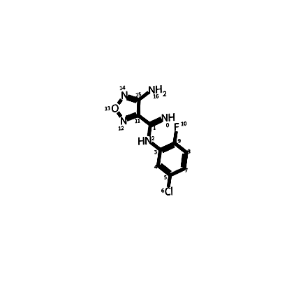 N=C(Nc1cc(Cl)ccc1F)c1nonc1N